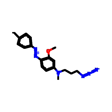 [CH2]c1ccc(/N=N/c2ccc(N(C)CCCN=[N+]=[N-])cc2OC)cc1